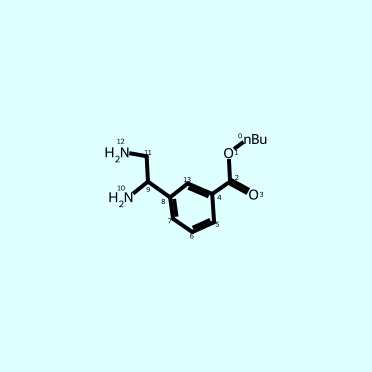 CCCCOC(=O)c1cccc(C(N)CN)c1